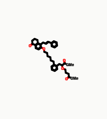 COC(=O)CCCOC(Cc1ccccc1CCCCCCOc1ccc2c(c1CC=Cc1ccccc1)CCCC2=O)C(=O)OC